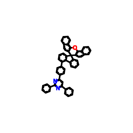 c1ccc(-c2cc(-c3ccc(-c4cccc5c4-c4ccccc4C54c5ccc6ccccc6c5Oc5c4ccc4ccccc54)cc3)nc(-c3ccccc3)n2)cc1